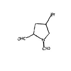 CC(C)C1CC(C=O)N(C=O)C1